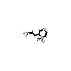 C=CCC1C=NC=CS1(=O)=O